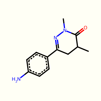 CC1CC(c2ccc(N)cc2)=NN(C)C1=O